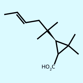 CC=CCC(C)(C)[C@@H]1C(C(=O)O)C1(C)C